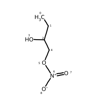 CCC(O)CO[N+](=O)[O-]